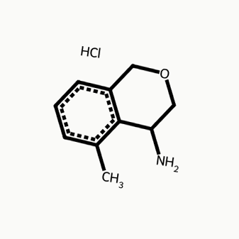 Cc1cccc2c1C(N)COC2.Cl